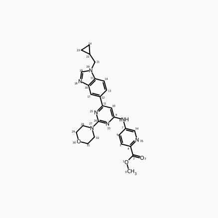 COC(=O)c1ccc(Nc2cc(-c3ccc4c(c3)ncn4CC3CC3)nc(N3CCOCC3)n2)cn1